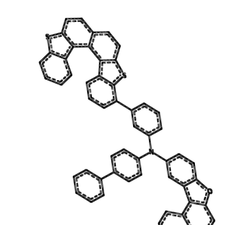 c1ccc(-c2ccc(N(c3cccc(-c4cccc5c4sc4ccc6ccc7sc8ccccc8c7c6c45)c3)c3ccc4oc5ccc6ccccc6c5c4c3)cc2)cc1